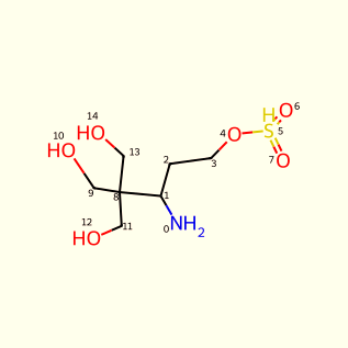 NC(CCO[SH](=O)=O)C(CO)(CO)CO